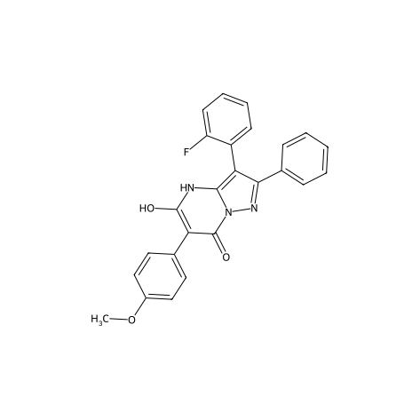 COc1ccc(-c2c(O)[nH]c3c(-c4ccccc4F)c(-c4ccccc4)nn3c2=O)cc1